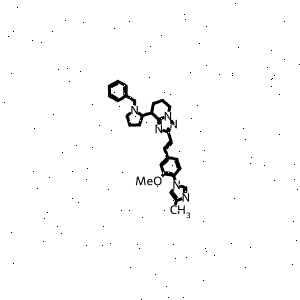 COc1cc(C=Cc2nc3n(n2)CCCC3C2CCCN2Cc2ccccc2)ccc1-n1cnc(C)c1